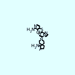 C[C@@H]1CCC2(CCN(c3cnc(Sc4ccnc(N)c4Cl)c4nccn34)CC2)[C@@H]1N